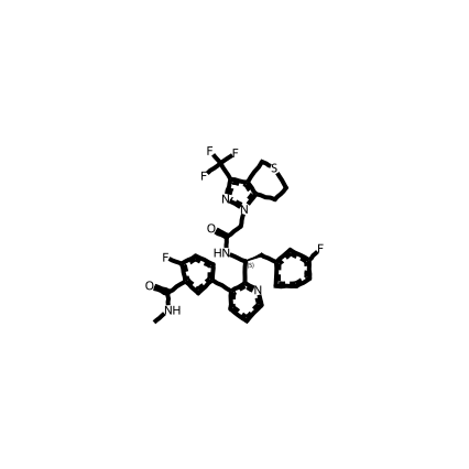 CNC(=O)c1cc(-c2cccnc2[C@H](Cc2cccc(F)c2)NC(=O)Cn2nc(C(F)(F)F)c3c2CCSC3)ccc1F